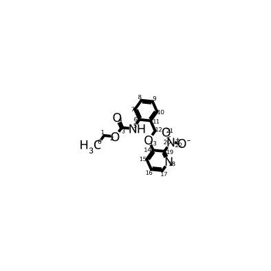 CCOC(=O)Nc1ccccc1COc1cccnc1[N+](=O)[O-]